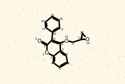 O=c1oc2ccccc2c(OCC2CO2)c1-c1ccccc1